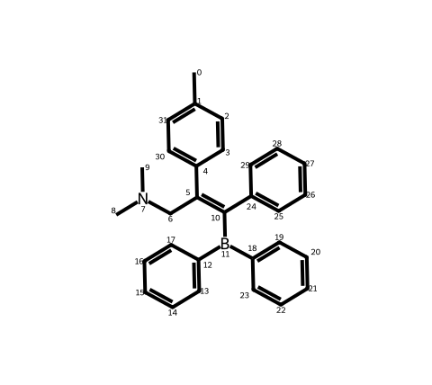 Cc1ccc(/C(CN(C)C)=C(/B(c2ccccc2)c2ccccc2)c2ccccc2)cc1